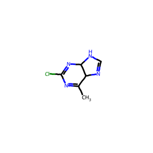 CC1=NC(Cl)=NC2NC=NC12